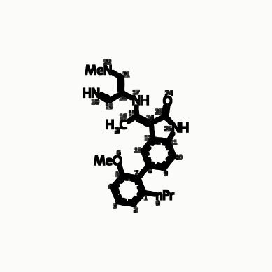 CCCc1cccc(OC)c1-c1ccc2c(c1)/C(=C(\C)N/C(C=N)=C/NC)C(=O)N2